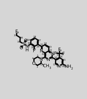 C[C@H]1COCCN1c1nc(-c2cnc(N)cc2C(F)(F)F)nc2ccc(-c3cccc(NS(=O)(=O)CCCF)c3F)nc12